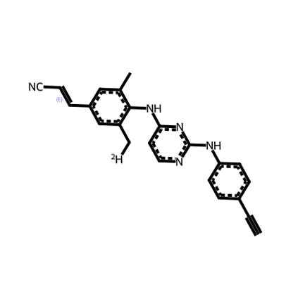 [2H]Cc1cc(/C=C/C#N)cc(C)c1Nc1ccnc(Nc2ccc(C#C)cc2)n1